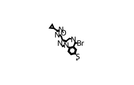 CSc1ccc2c(c1)C(Br)=NCc1c(-c3nc(C4CC4)no3)ncn1-2